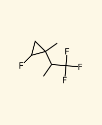 CC(C(F)(F)F)C1(C)CC1F